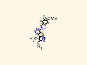 COc1ccc(CNc2ncnc3c2sc2nnc(C)c(C)c23)cc1F